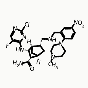 CN1CCN(c2ccc([N+](=O)[O-])cc2CNC[C@@H]2C[C@@H]3C[C@H]2[C@@H](Nc2nc(Cl)ncc2F)[C@H]3C(N)=O)CC1